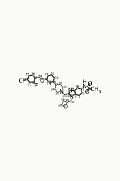 CS(=O)(=O)Nc1ccc2c(c1)nc(CN1CCC(c3cccc(OCc4ccc(Cl)cc4F)n3)CC1)n2CC1CCO1